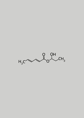 CC=CC=CC(=O)OC(O)CC